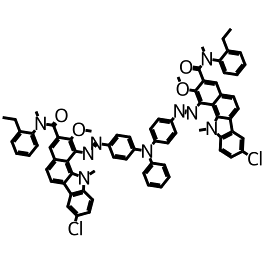 CCc1ccccc1N(C)C(=O)c1cc2ccc3c4cc(Cl)ccc4n(C)c3c2c(N=Nc2ccc(N(c3ccccc3)c3ccc(N=Nc4c(OC)c(C(=O)N(C)c5ccccc5CC)cc5ccc6c7cc(Cl)ccc7n(C)c6c45)cc3)cc2)c1OC